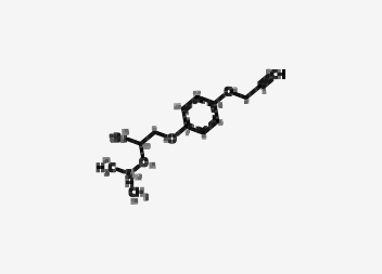 C#CCOc1ccc(OCC(O[SiH](C)C)C(C)(C)C)cc1